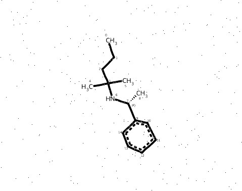 CCCC(C)(C)N[C@H](C)c1ccccc1